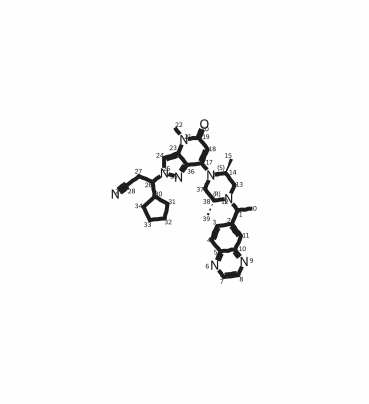 CC(c1ccc2nccnc2c1)N1C[C@H](C)N(c2cc(=O)n(C)c3cn(C(CC#N)C4CCCC4)nc23)C[C@H]1C